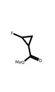 COC(=O)C1CC1F